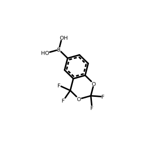 OB(O)c1ccc2c(c1)C(F)(F)OC(F)(F)O2